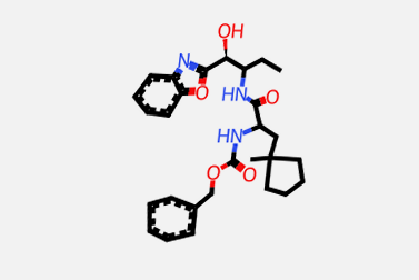 CCC(NC(=O)C(CC1(C)CCCC1)NC(=O)OCc1ccccc1)[C@H](O)c1nc2ccccc2o1